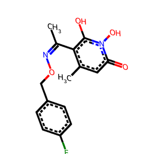 CC(=NOCc1ccc(F)cc1)c1c(C)cc(=O)n(O)c1O